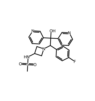 CS(=O)(=O)NC1CN(C(c2ccc(F)cc2)C(O)(c2cccnc2)c2cccnc2)C1